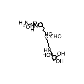 NC(=O)CNC(=O)Nc1cccc(CCCCOCCCCCCNC[C@H](O)c2ccc(O)c(CO)c2)c1.O=CO